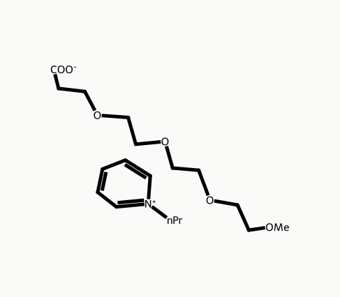 CCC[n+]1ccccc1.COCCOCCOCCOCCC(=O)[O-]